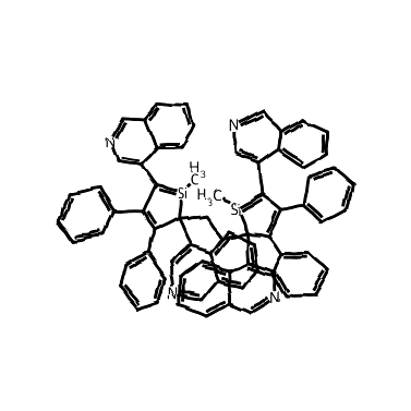 C[Si]1=C(c2cncc3ccccc23)C(c2ccccc2)=C(c2ccccc2)C1(CCC1(c2cncc3ccccc23)C(c2ccccc2)=C(c2ccccc2)C(c2cncc3ccccc23)=[Si]1C)c1cncc2ccccc12